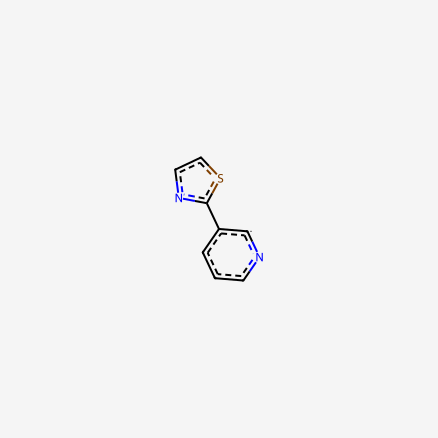 [c]1ncccc1-c1nccs1